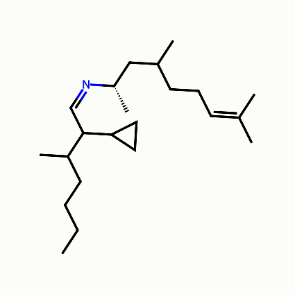 CCCCC(C)C(/C=N\[C@@H](C)CC(C)CCC=C(C)C)C1CC1